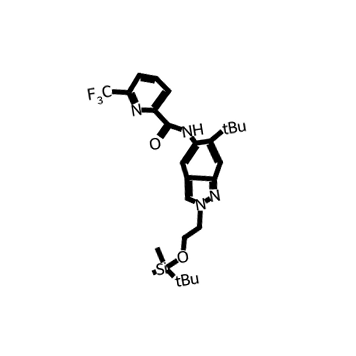 CC(C)(C)c1cc2nn(CCO[Si](C)(C)C(C)(C)C)cc2cc1NC(=O)c1cccc(C(F)(F)F)n1